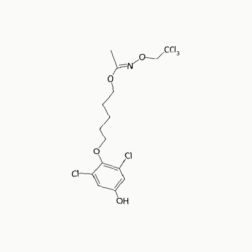 CC(=NOCC(Cl)(Cl)Cl)OCCCCCOc1c(Cl)cc(O)cc1Cl